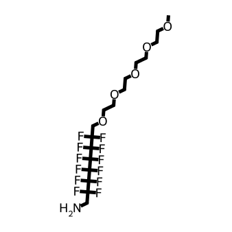 COCCOCCOCCOCCOCC(F)(F)C(F)(F)C(F)(F)C(F)(F)C(F)(F)C(F)(F)CN